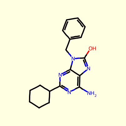 Nc1nc(C2CCCCC2)nc2c1nc(O)n2Cc1ccccc1